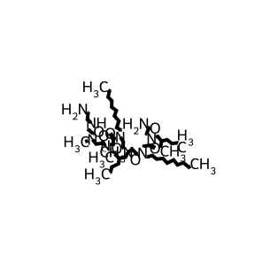 CCCCCCCCCCN(CC(=O)N(CC(=O)N(CCCCCCCCCC)CC(=O)N(CC(N)=O)CC(CC)CCCC)CC(CC)CCCC)C(=O)CN(C)C(=O)CN(C)C(=O)CNCCN